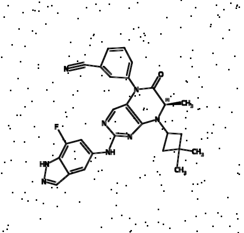 C[C@@H]1C(=O)N(c2cccc(C#N)c2)c2cnc(Nc3cc(F)c4[nH]ncc4c3)nc2N1C1CC(C)(C)C1